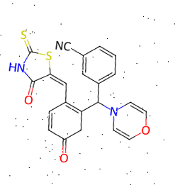 N#Cc1cccc(C(C2=C(C=C3SC(=S)NC3=O)C=CC(=O)C2)N2C=COC=C2)c1